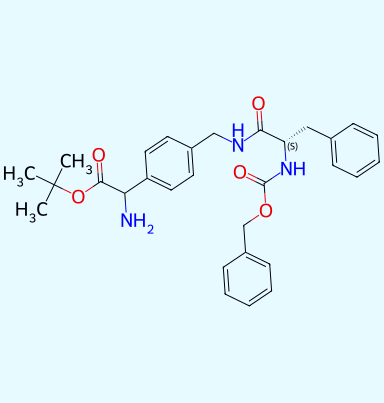 CC(C)(C)OC(=O)C(N)c1ccc(CNC(=O)[C@H](Cc2ccccc2)NC(=O)OCc2ccccc2)cc1